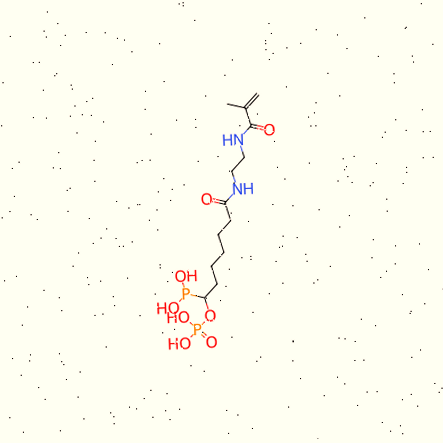 C=C(C)C(=O)NCCNC(=O)CCCCCC(OP(=O)(O)O)P(O)O